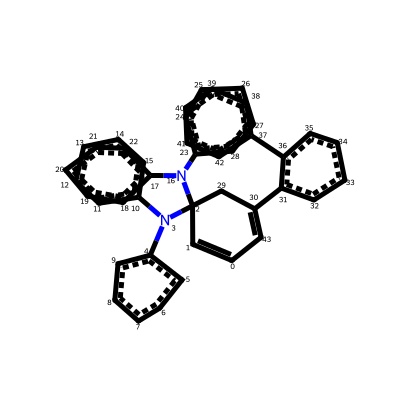 C1=CC(N(c2ccccc2)c2ccccc2)(N(c2ccccc2)c2ccccc2)CC(c2ccccc2-c2ccccc2)=C1